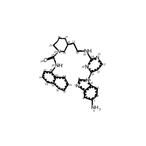 Nc1ccc2c(c1)ncn2-c1ccnc(NCCC2CCCN(C(=O)Nc3cccc4ccccc34)C2)n1